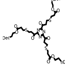 CCCCCCCCCCCCOC(=O)CCSCCC(=O)c1nc(C(=O)CCSCCC(=O)OCCCCCCCCCCCC)nc(C(=O)CCSCCC(=O)OCCCCCCCCCCCC)n1